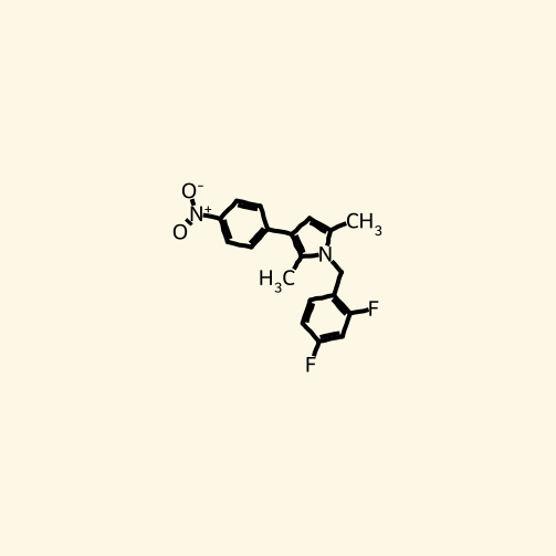 Cc1cc(-c2ccc([N+](=O)[O-])cc2)c(C)n1Cc1ccc(F)cc1F